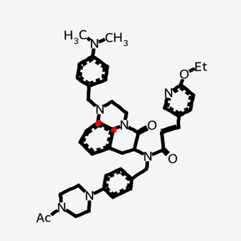 CCOc1ccc(C=CC(=O)N(Cc2ccc(N3CCN(C(C)=O)CC3)cc2)C(Cc2ccccc2)C(=O)N2CCN(Cc3ccc(N(C)C)cc3)CC2)cn1